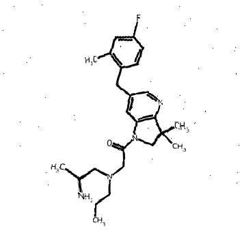 CCCN(CC(=O)N1CC(C)(C)c2ncc(Cc3ccc(F)cc3C)cc21)CC(C)N